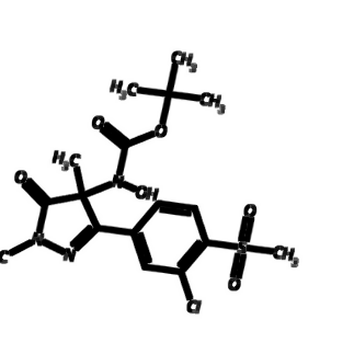 CN1N=C(c2ccc(S(C)(=O)=O)c(Cl)c2)C(C)(N(O)C(=O)OC(C)(C)C)C1=O